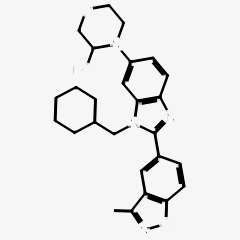 Cc1noc2ccc(-c3nc4ccc(N5CCOCC5C)cc4n3CC3CCCCC3)cc12